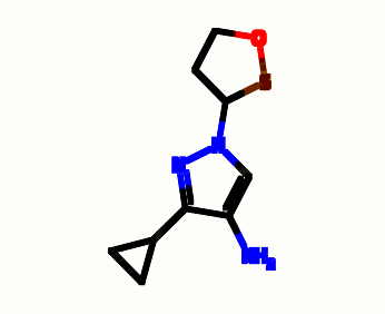 Nc1cn(C2CCOS2)nc1C1CC1